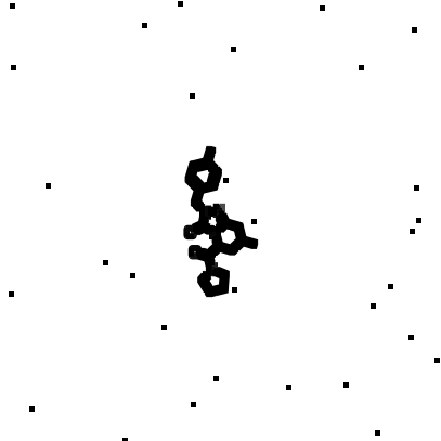 Cc1ccc(Cn2nc3n(c2=O)C(C(=O)N2CCCC2)CC(C)C3)cc1